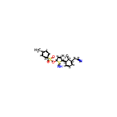 Cc1ccc(S(=O)(=O)OC2C=CC(=C3C=CC=C(CC#N)C3C)S2=N)cc1